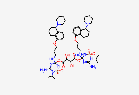 CC(C)N1C(N)=NC(NCCCOc2cccc3c2CCCC3N2CCCCC2)(OC(=O)C(O)C(O)C(=O)OC2(NCCCOc3cccc4c3CCCC4N3CCCCC3)N=C(N)N(C(C)C)S(=O)(=O)N2)NS1(=O)=O